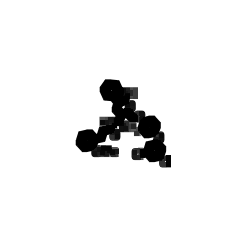 COc1ccccc1CCC(=O)NC(N)C(Cc1c[nH]c2ccccc12)C(=O)COc1ccc(Oc2cc(Cl)cc(Cl)c2)cc1